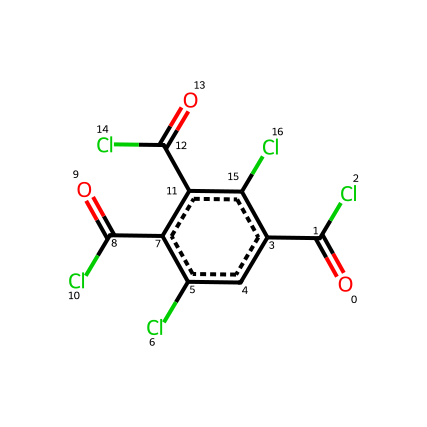 O=C(Cl)c1cc(Cl)c(C(=O)Cl)c(C(=O)Cl)c1Cl